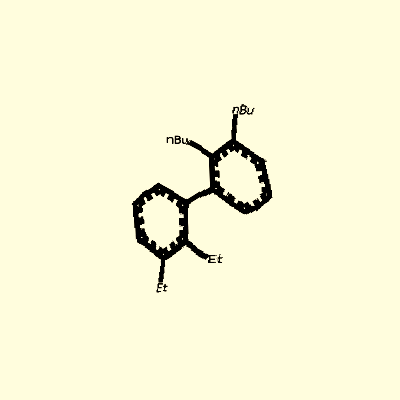 CCCCc1[c]ccc(-c2cccc(CC)c2CC)c1CCCC